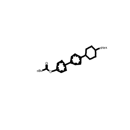 CCCCCCC1CCC(c2ccc(-c3ccc(OC(=O)CCCC)cc3)cc2)CC1